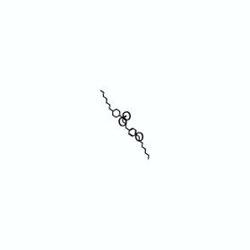 CCCCCCCOc1ccc(CCOC(=O)C2CCC(CCCCCCC)CC2)cc1